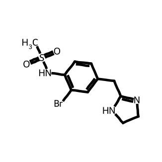 CS(=O)(=O)Nc1ccc(CC2=NCCN2)cc1Br